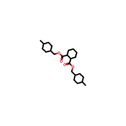 CC1CCC(COC(=O)C2CCCCC2C(=O)OCC2CCC(C)CC2)CC1